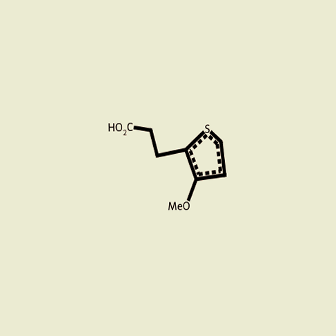 COc1ccsc1CCC(=O)O